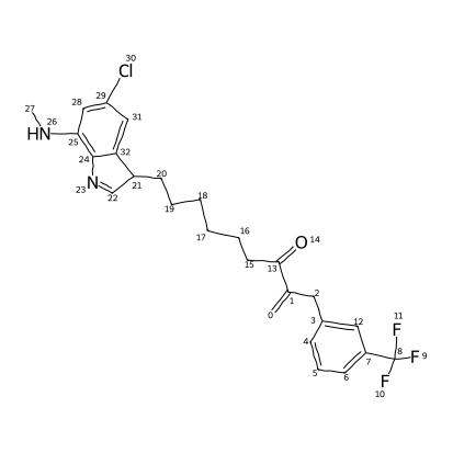 C=C(Cc1cccc(C(F)(F)F)c1)C(=O)CCCCCCC1C=Nc2c(NC)cc(Cl)cc21